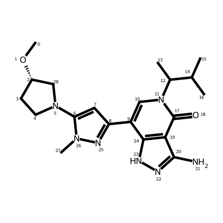 CO[C@H]1CCN(c2cc(-c3cn(C(C)C(C)C)c(=O)c4c(N)n[nH]c34)nn2C)C1